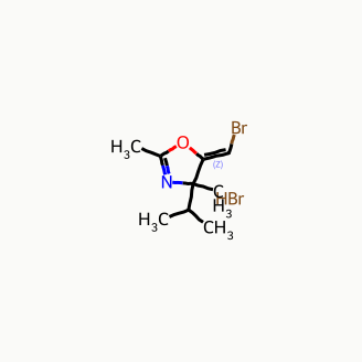 Br.CC1=NC(C)(C(C)C)/C(=C/Br)O1